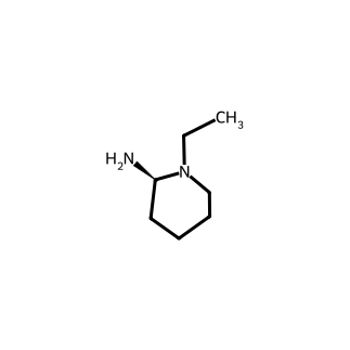 CCN1CCCC[C@H]1N